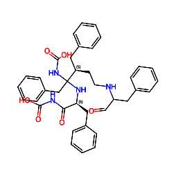 O=CC(Cc1ccccc1)NCC[C@H](Cc1ccccc1)C(Cc1ccccc1)(NC(=O)O)N[C@@H](Cc1ccccc1)C(=O)NC(=O)O